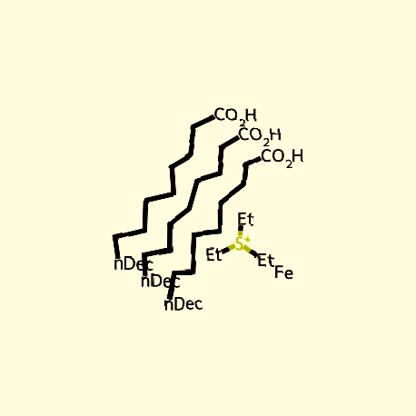 CCCCCCCCCCCCCCCCCC(=O)O.CCCCCCCCCCCCCCCCCC(=O)O.CCCCCCCCCCCCCCCCCC(=O)O.CC[S+](CC)CC.[Fe]